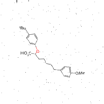 COc1ccc(CCCCCC(Oc2ccc(C(C)(C)C)cc2)C(=O)O)cc1